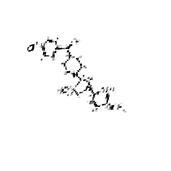 O=C(c1ccc(Cl)cc1)N1CCN(C2CN(c3ccc(C(F)(F)F)cn3)C[C@@H]2O)CC1